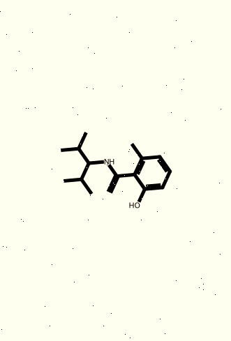 C=C(NC(C(C)C)C(C)C)c1c(C)cccc1O